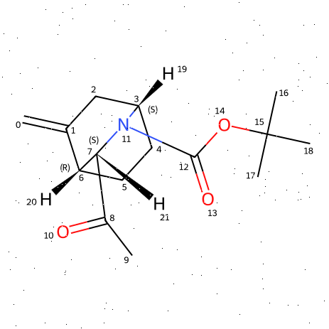 C=C1C[C@@H]2CC[C@H]1[C@@H](C(C)=O)N2C(=O)OC(C)(C)C